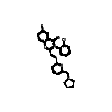 O=c1c2cc(F)ccc2nc(/C=C/c2cccc(CN3CCCC3)n2)n1-c1ccccc1Cl